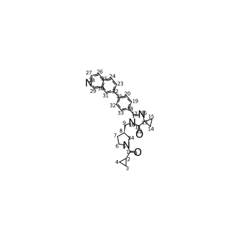 O=C(C1CC1)N1CC[C@@H](CN2C(=O)C3(CC3)N=C2c2ccc(-c3ccc4ccncc4c3)cc2)C1